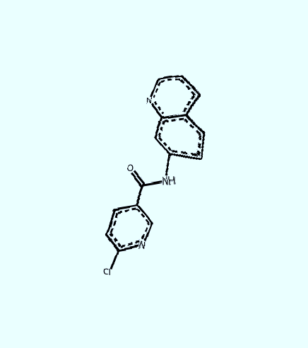 O=C(Nc1ccc2cccnc2c1)c1ccc(Cl)nc1